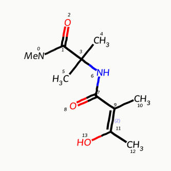 CNC(=O)C(C)(C)NC(=O)/C(C)=C(/C)O